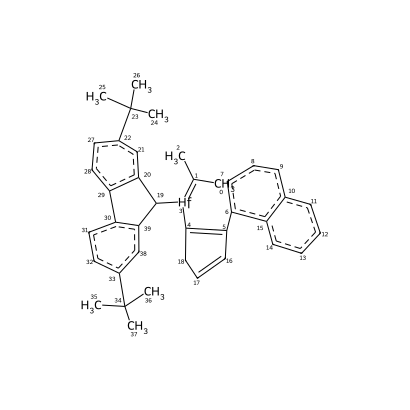 C[C](C)=[Hf]([C]1=C(c2cccc3ccccc23)C=CC1)[CH]1c2cc(C(C)(C)C)ccc2-c2ccc(C(C)(C)C)cc21